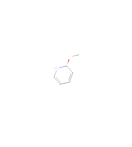 CO[C@H]1C=C[C]=CN1